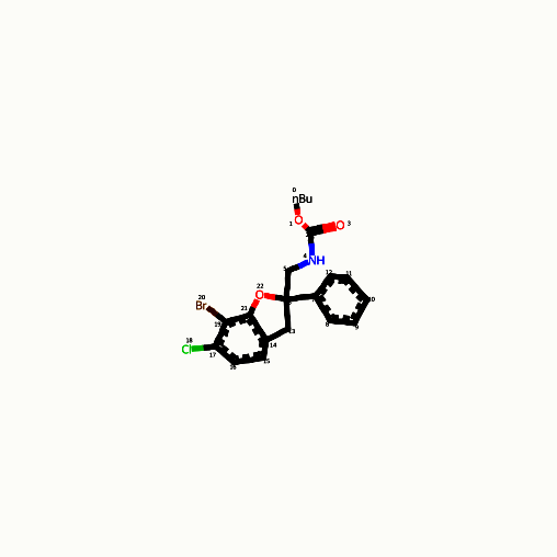 CCCCOC(=O)NCC1(c2ccccc2)Cc2ccc(Cl)c(Br)c2O1